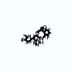 Cc1nc(-c2cc3c(n4cnnc24)NCc2c(F)ccc4c2[C@H](CO4)CO3)ccc1F